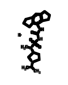 CC(C)N1CCC(N(C)S(=O)(=O)NC(=O)Nc2c3c(cc4c2CCC4)CCC3)C1.[K]